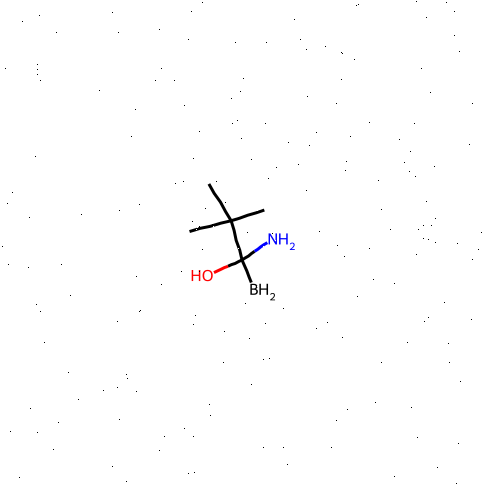 BC(N)(O)C(C)(C)C